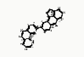 C1=Cc2c3cc(-c4ccc5ccc6cccnc6c5n4)ccc3cc3cccc1c23